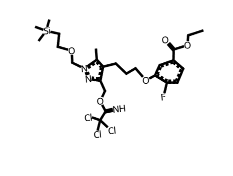 CCOC(=O)c1ccc(F)c(OCCCc2c(COC(=N)C(Cl)(Cl)Cl)nn(COCC[Si](C)(C)C)c2C)c1